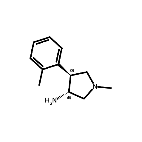 Cc1ccccc1[C@H]1CN(C)C[C@@H]1N